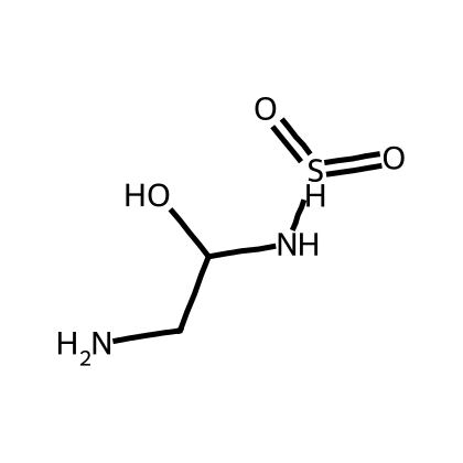 NCC(O)N[SH](=O)=O